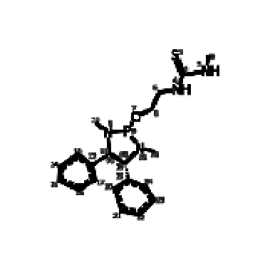 CNC(=S)NCCOP1N(C)[C@H](c2ccccc2)[C@@H](c2ccccc2)N1C